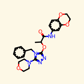 CC(Oc1nnc(N2CCOCC2)n1Cc1ccccc1)C(=O)Nc1ccc2c(c1)OCCO2